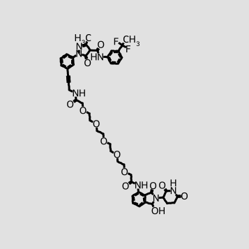 CC1=NN(c2cccc(C#CCNC(=O)COCCOCCOCCOCCOCC(=O)Nc3cccc4c3C(=O)N(C3CCC(=O)NC3=O)C4O)c2)C(=O)C1C(=O)Nc1cccc(C(C)(F)F)c1